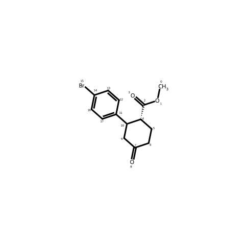 COC(=O)[C@@H]1CCC(=O)CC1c1ccc(Br)cc1